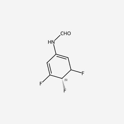 O=CNC1=CC(F)[C@H](F)C(F)=C1